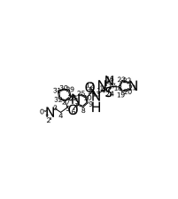 CN(C)CCC(Oc1ccc(C(=O)Nc2nnc(-c3ccncc3)s2)cn1)c1ccccc1